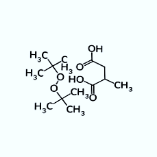 CC(C)(C)OOC(C)(C)C.CC(CC(=O)O)C(=O)O